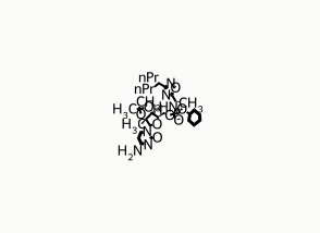 CCCC(CCC)c1noc([C@H](C)NP(=O)(OC[C@H]2O[C@@H](n3ccc(N)nc3=O)[C@]3(C)OC(C)(C)O[C@H]23)Oc2ccccc2)n1